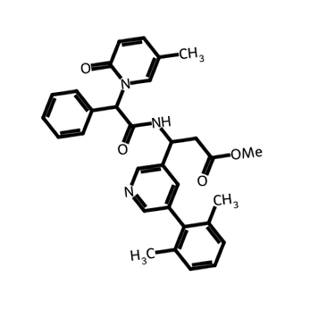 COC(=O)CC(NC(=O)C(c1ccccc1)n1cc(C)ccc1=O)c1cncc(-c2c(C)cccc2C)c1